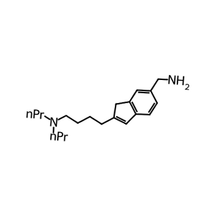 CCCN(CCC)CCCCC1=Cc2ccc(CN)cc2C1